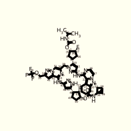 CC(C)NC(=O)O[C@H]1C[C@@H](c2cc(Nc3nccn4nc5c(c34)CCCC5)nn2Cc2cn3nc(COC(F)(F)F)cc3c(Nc3cc([C@H]4CC[C@@H](OC(=O)NC56CC(C5)C6)[C@@H]4F)[nH]n3)n2)C[C@H]1F